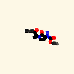 C=C(C(=O)OC)N1CCC(NC(=O)OC(C)(C)C)C1=O